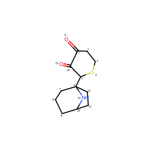 O=C1CCSC(C23CCCC(CC2)N3)C1=O